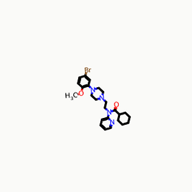 COc1ccc(Br)cc1N1CCN(CCN(C(=O)C2CCCCC2)c2ccccn2)CC1